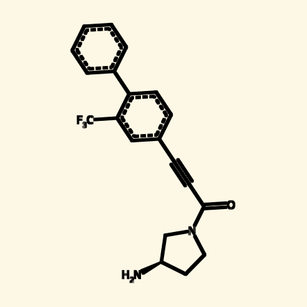 N[C@@H]1CCN(C(=O)C#Cc2ccc(-c3ccccc3)c(C(F)(F)F)c2)C1